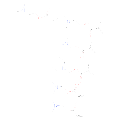 C=C(C)C(=O)OCCN(C)C.C=C(C)C(=O)OCN(C)C.C=C(C)C(=O)OCN(CC)CC.C=CC(=O)OCCN(C)C.C=CC(=O)OCN(C)C.C=CC(=O)OCN(CC)CC